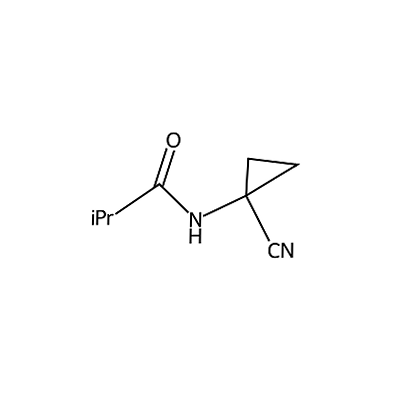 CC(C)C(=O)NC1(C#N)CC1